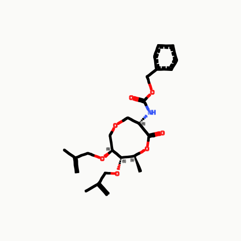 C=C(C)CO[C@H]1[C@H](C)OC(=O)[C@@H](NC(=O)OCc2ccccc2)COC[C@@H]1OCC(=C)C